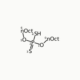 CCCCCCCCOP(=S)(S)OCCCCCCCC